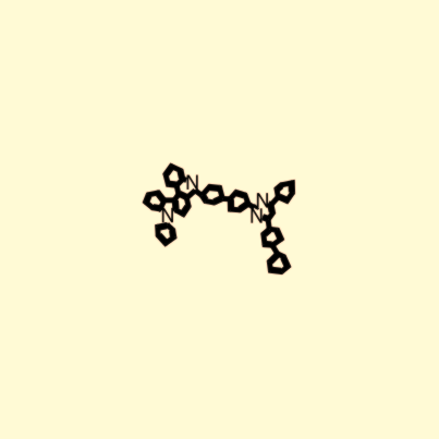 c1ccc(-c2ccc(-c3cc(-c4ccccc4)nc(-c4ccc(-c5ccc(-c6nc7ccccc7c7c6ccc6c7c7ccccc7n6-c6ccccc6)cc5)cc4)n3)cc2)cc1